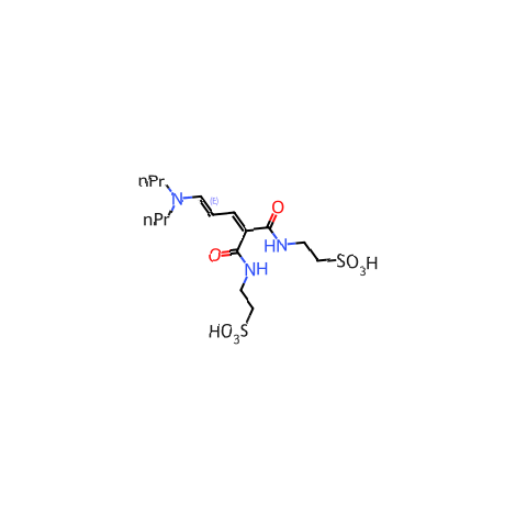 CCCN(/C=C/C=C(C(=O)NCCS(=O)(=O)O)C(=O)NCCS(=O)(=O)O)CCC